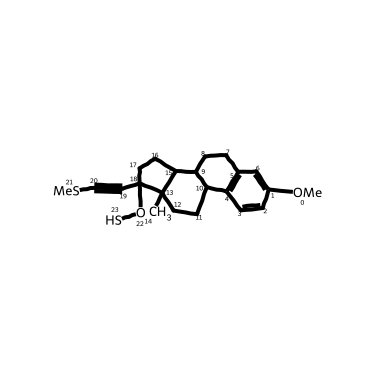 COc1ccc2c(c1)CCC1C2CCC2(C)C1CCC2(C#CSC)OS